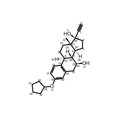 C#C[C@]1(O)CC[C@H]2[C@H]3[C@H](CC[C@@]21C)c1ccc(OC2CCCC2)cc1C[C@@H]3O